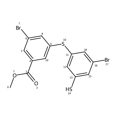 COC(=O)c1cc(Br)cc(Sc2cc(S)cc(Br)c2)c1